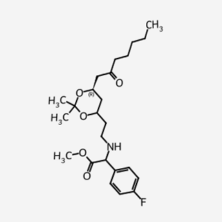 CCCCCC(=O)C[C@H]1CC(CCNC(C(=O)OC)c2ccc(F)cc2)OC(C)(C)O1